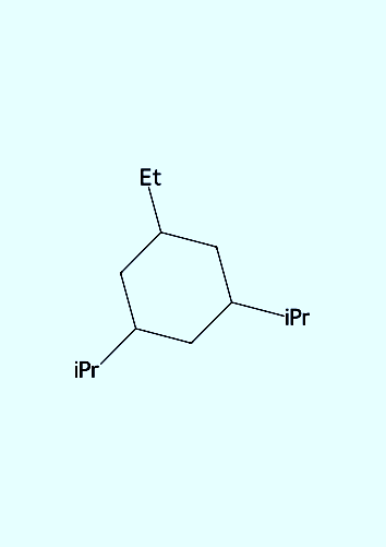 CCC1CC(C(C)C)CC(C(C)C)C1